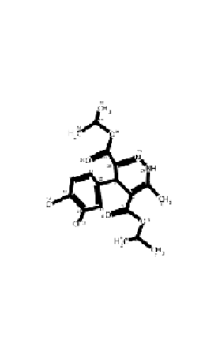 CC1=C(C(=O)OC(C)C)C(c2ccc(Cl)c(Cl)c2)C(C(=O)OC(C)C)=NN1